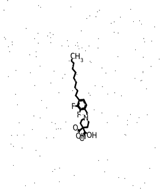 CCCCCCCCCCc1ccc(CN2CCC(C(=O)O)(C(=O)O)CC2)c(F)c1F